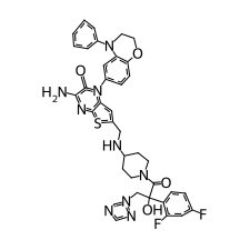 Nc1nc2sc(CNC3CCN(C(=O)C(O)(Cn4cncn4)c4ccc(F)cc4F)CC3)cc2n(-c2ccc3c(c2)N(c2ccccc2)CCO3)c1=O